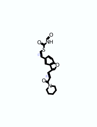 O=CNC(=O)S/C=C\c1ccc2occ(/C=C/C(=O)N3CCCCC3)c2c1